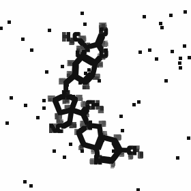 C=C(N1CCc2ncc(C(F)(F)F)cc2C1)C1(CC#N)CCN(Cc2ccc3oc(=O)n(C)c3c2)C1